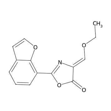 CCO/C=C1\N=C(c2cccc3ccoc23)OC1=O